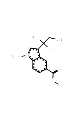 COC(=O)c1ccc2c(c1)c(C(C)(C)CN)cn2C